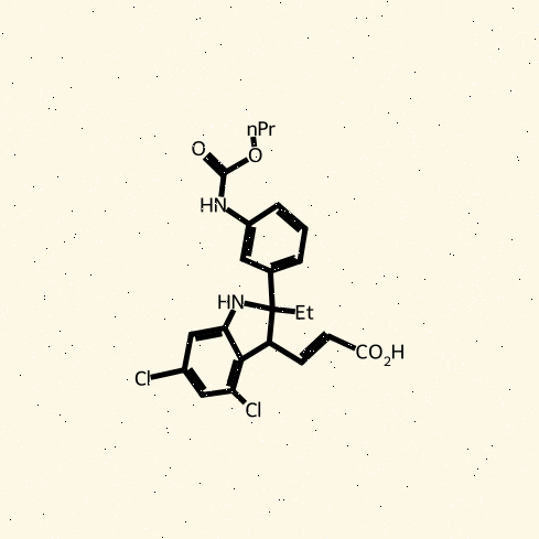 CCCOC(=O)Nc1cccc(C2(CC)Nc3cc(Cl)cc(Cl)c3C2C=CC(=O)O)c1